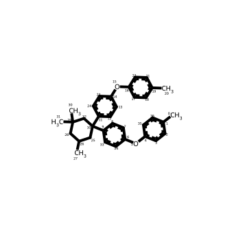 Cc1ccc(Oc2ccc(C3(c4ccc(Oc5ccc(C)cc5)cc4)CC(C)CC(C)(C)C3)cc2)cc1